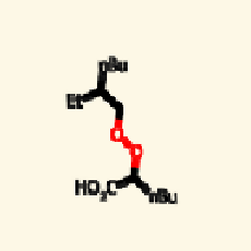 CCCCC(CC)COOC(CCCC)C(=O)O